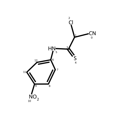 N#CC(Cl)C(=S)Nc1ccc([N+](=O)[O-])cc1